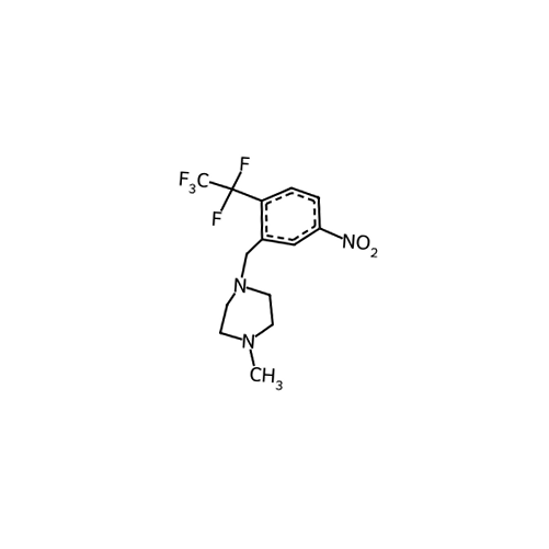 CN1CCN(Cc2cc([N+](=O)[O-])ccc2C(F)(F)C(F)(F)F)CC1